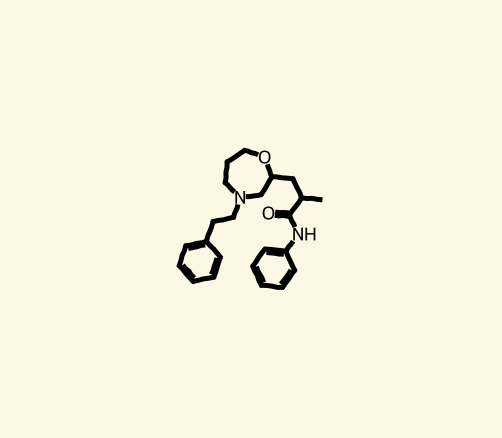 CC(CC1CN(CCc2ccccc2)CCCO1)C(=O)Nc1ccccc1